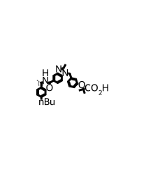 CCCCc1ccc([C@H](C)NC(=O)c2ccc3c(c2)nc(C)n3Cc2cccc(OC(C)(C)C(=O)O)c2)cc1